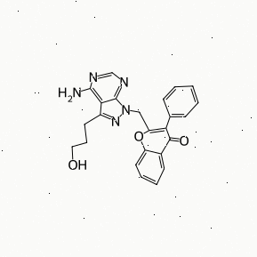 Nc1ncnc2c1c(CCCO)nn2Cc1oc2ccccc2c(=O)c1-c1ccccc1